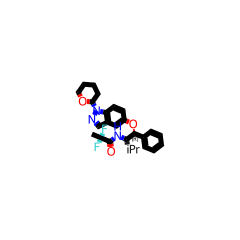 CC(C)C(NC(=O)C(C)(F)F)[C@H](Oc1ccc2c(cnn2C2CCCCO2)c1)c1ccccc1